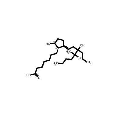 CCCCC(C)(C)C(O)(CC=C1CC[C@H](O)[C@@H]1CCCCCCC(=O)O)CCC